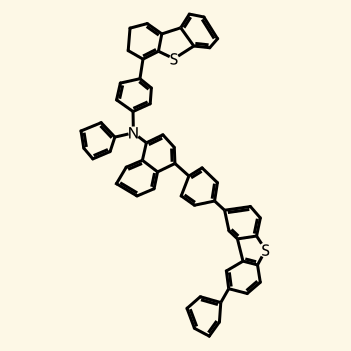 C1=c2c(sc3ccccc23)=C(c2ccc(N(c3ccccc3)c3ccc(-c4ccc(-c5ccc6sc7ccc(-c8ccccc8)cc7c6c5)cc4)c4ccccc34)cc2)CC1